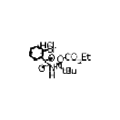 CCOC(=O)ON(NS(=O)(=O)c1ccccc1Br)C(C)(C)C.Cl